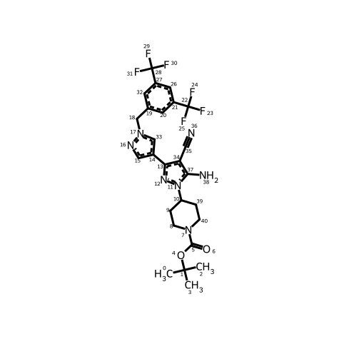 CC(C)(C)OC(=O)N1CCC(n2nc(-c3cnn(Cc4cc(C(F)(F)F)cc(C(F)(F)F)c4)c3)c(C#N)c2N)CC1